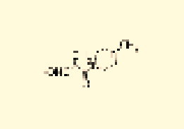 CC([C]=O)C(=O)N1CCN(C)CC1